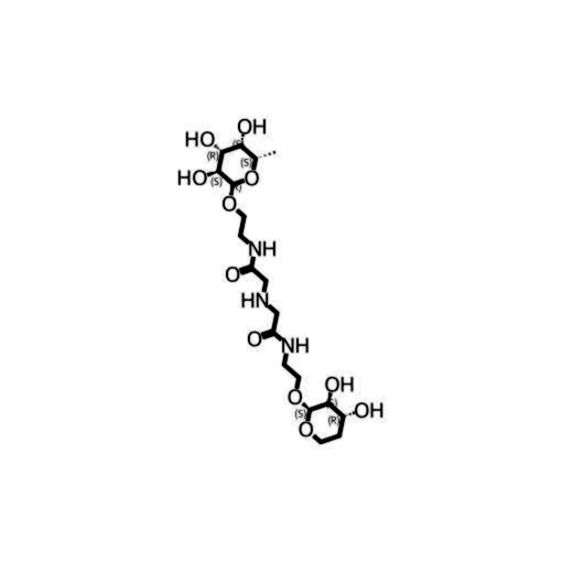 C[C@@H]1O[C@@H](OCCNC(=O)CNCC(=O)NCCO[C@@H]2OCC[C@@H](O)[C@@H]2O)[C@@H](O)[C@H](O)[C@@H]1O